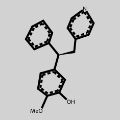 COc1ccc([C@H](Cc2ccncc2)c2ccccc2)cc1O